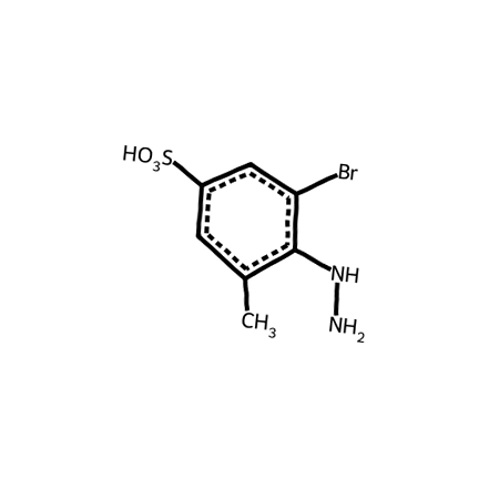 Cc1cc(S(=O)(=O)O)cc(Br)c1NN